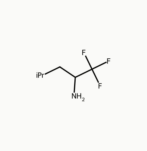 CC(C)CC(N)C(F)(F)F